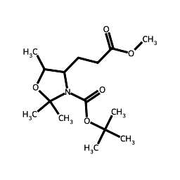 COC(=O)CCC1C(C)OC(C)(C)N1C(=O)OC(C)(C)C